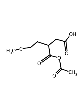 CCCCC(CC(=O)O)C(=O)OC(C)=O